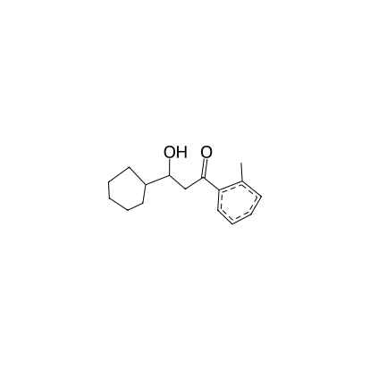 Cc1ccccc1C(=O)CC(O)C1CCCCC1